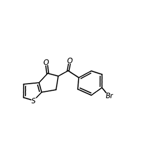 O=C(c1ccc(Br)cc1)C1Cc2sccc2C1=O